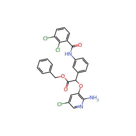 Nc1ncc(Cl)cc1OC(C(=O)OCc1ccccc1)c1cccc(NC(=O)c2cccc(Cl)c2Cl)c1